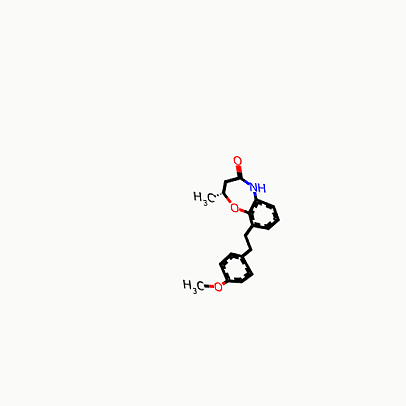 COc1ccc(CCc2cccc3c2O[C@H](C)CC(=O)N3)cc1